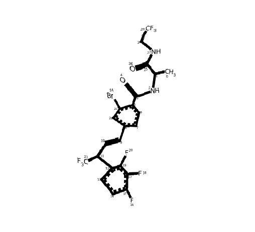 CC(NC(=O)c1ccc(/C=C/C(c2ccc(F)c(F)c2F)C(F)(F)F)cc1Br)C(=O)NCC(F)(F)F